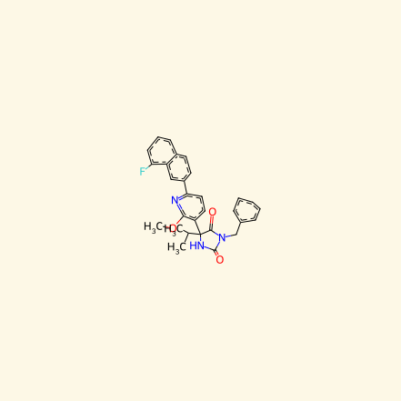 COc1nc(-c2ccc3cccc(F)c3c2)ccc1C1(C(C)C)NC(=O)N(Cc2ccccc2)C1=O